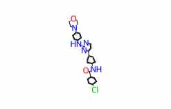 O=C(Nc1ccc(-c2ccnc(Nc3ccc(N4CCOCC4)cc3)n2)cc1)c1ccc(Cl)cc1